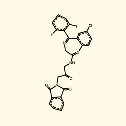 O=C(CNC1=Nc2ccc(Cl)cc2C(c2c(F)cccc2F)=NC1)CN1C(=O)c2ccccc2C1=O